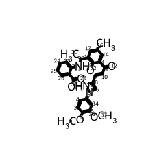 COc1ccc(-n2cc(-c3cc(=O)c4cc(C)cc(C(C)Nc5ccccc5C(=O)O)c4o3)[nH]2)cc1OC